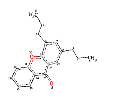 CCCc1cc(CCC)c2oc3ccccc3c(=O)c2c1